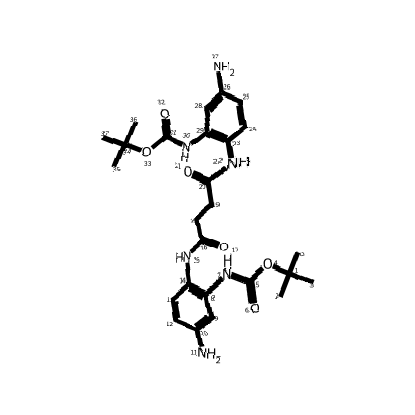 CC(C)(C)OC(=O)Nc1cc(N)ccc1NC(=O)CCC(=O)Nc1ccc(N)cc1NC(=O)OC(C)(C)C